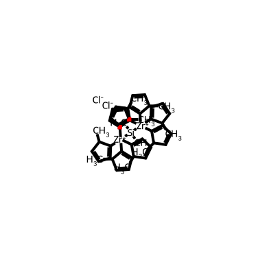 CC1C=CC=[C]1[Zr+]([C]1=CC=CC1C)([C]1=CC=CC1C)([C]1=CC=CC1C)[Si](C)(C)[Zr+]([C]1=CC=CC1C)([C]1=CC=CC1C)([C]1=CC=CC1C)[C]1=CC=CC1C.[Cl-].[Cl-]